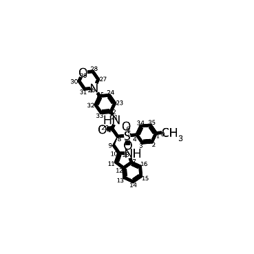 Cc1ccc(S(=O)(=O)[C@@H](Cc2cc3ccccc3[nH]2)C(=O)Nc2ccc(N3CCOCC3)cc2)cc1